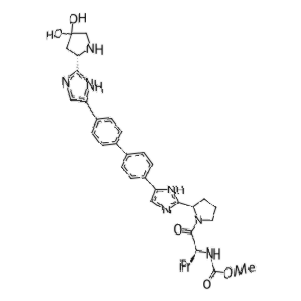 COC(=O)N[C@H](C(=O)N1CCCC1c1ncc(-c2ccc(-c3ccc(-c4cnc([C@@H]5CC(O)(O)CN5)[nH]4)cc3)cc2)[nH]1)C(C)C